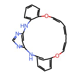 c1cccoc2ccccc2[nH]c2cc(ncn2)[nH]c2cccc(c2)occ1